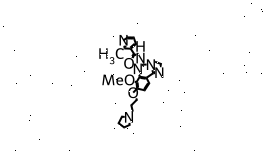 COc1c(OCCCN2CCCC2)ccc2c1N=C(NC(=O)c1cccnc1C)N1CCN=C21